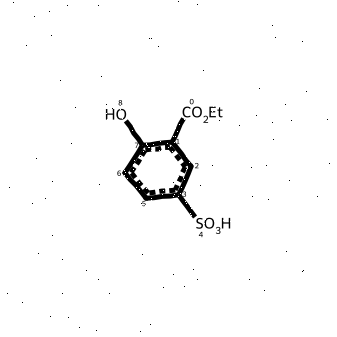 CCOC(=O)c1cc(S(=O)(=O)O)ccc1O